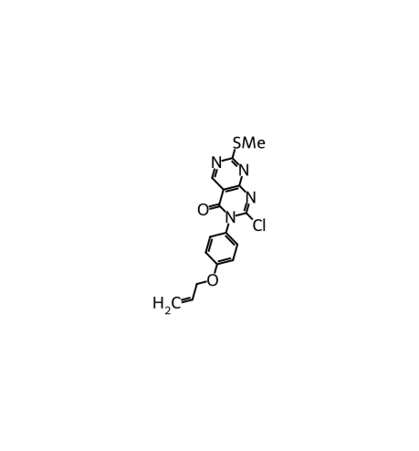 C=CCOc1ccc(-n2c(Cl)nc3nc(SC)ncc3c2=O)cc1